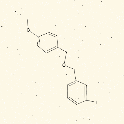 COc1ccc(COCc2cccc(I)c2)cc1